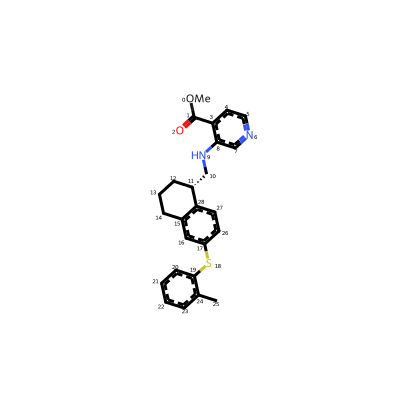 COC(=O)c1ccncc1NC[C@H]1CCCc2cc(Sc3ccccc3C)ccc21